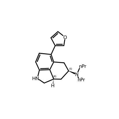 CCCN(CCC)[C@@H]1Cc2c(-c3ccoc3)ccc3c2[C@H](CN3)C1